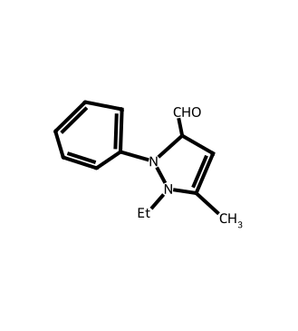 CCN1C(C)=CC(C=O)N1c1ccccc1